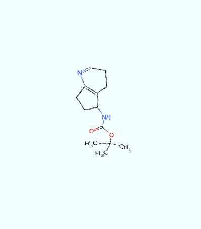 CC(C)(C)OC(=O)NC1CCC2=C1CCC=N2